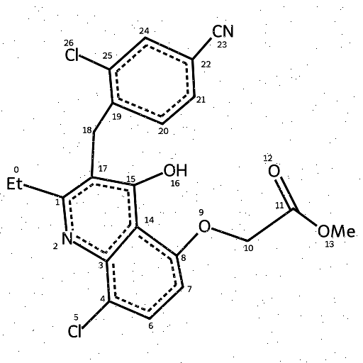 CCc1nc2c(Cl)ccc(OCC(=O)OC)c2c(O)c1Cc1ccc(C#N)cc1Cl